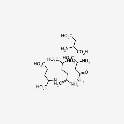 NC(=O)CC(N)C(=O)O.NC(=O)CCC(N)C(=O)O.NC(CC(=O)O)C(=O)O.NC(CCC(=O)O)C(=O)O